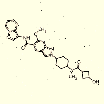 COc1cc2nn(C3CCC(N(C)C(=O)C4CC(O)C4)CC3)cc2cc1C(=O)Nc1cnn2cccnc12